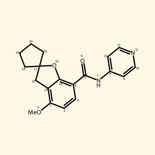 COc1ccc(C(=O)Nc2ccncc2)c2c1CC1(CCCC1)O2